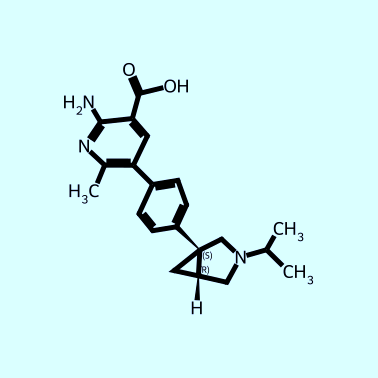 Cc1nc(N)c(C(=O)O)cc1-c1ccc([C@]23C[C@H]2CN(C(C)C)C3)cc1